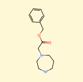 O=C(CN1CCC[N]CC1)OCc1ccccc1